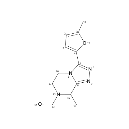 Cc1ccc(-c2nnc3n2CCN(C=O)C3C)o1